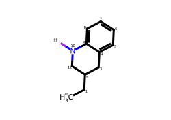 CCC1Cc2ccccc2N(I)C1